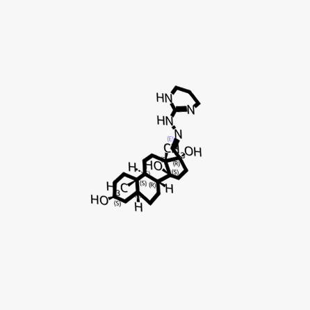 C[C@]12CC[C@H](O)C[C@H]1CC[C@@H]1[C@@H]2CC[C@]2(C)[C@@](O)(/C=N/NC3=NCCCN3)CC[C@]12O